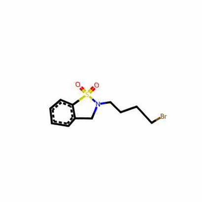 O=S1(=O)c2ccccc2CN1CCCCBr